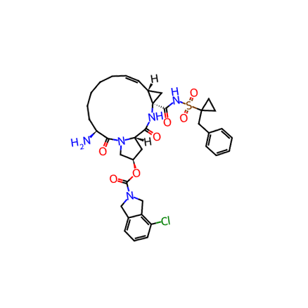 N[C@H]1CCCCC/C=C\[C@@H]2C[C@@]2(C(=O)NS(=O)(=O)C2(Cc3ccccc3)CC2)NC(=O)[C@@H]2C[C@@H](OC(=O)N3Cc4cccc(Cl)c4C3)CN2C1=O